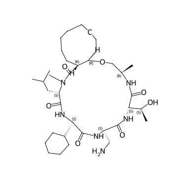 CC(C)C[C@H]1C(=O)N[C@@H](C2CCCCC2)C(=O)N[C@@H](CN)C(=O)N[C@@H]([C@H](C)O)C(=O)N[C@H](C)CO[C@@H]2CCCCCCCC[C@H]2C(=O)N1C